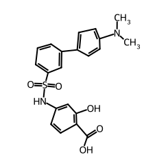 CN(C)c1ccc(-c2cccc(S(=O)(=O)Nc3ccc(C(=O)O)c(O)c3)c2)cc1